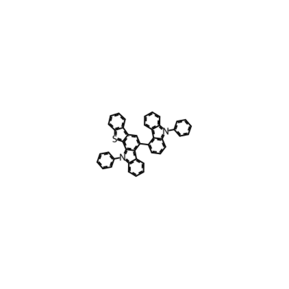 c1ccc(-n2c3ccccc3c3c(-c4cc5c6ccccc6sc5c5c4c4ccccc4n5-c4ccccc4)cccc32)cc1